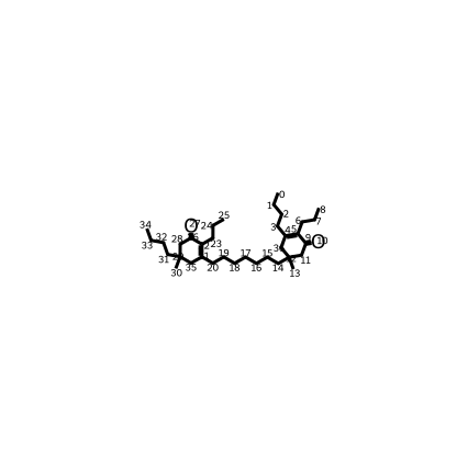 CCCCC1=C(CCC)C(=O)CC(C)(CCCCCCCC2=C(CCC)C(=O)CC(C)(CCCC)C2)C1